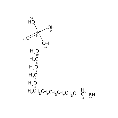 O.O.O.O.O.O.O.O.O.O.O.O.O=P(O)(O)O.[KH]